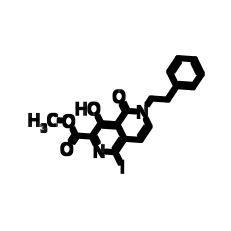 COC(=O)c1nc(I)c2ccn(CCc3ccccc3)c(=O)c2c1O